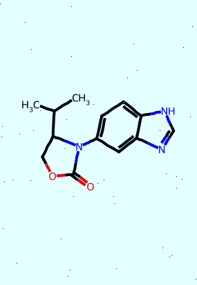 CC(C)C1COC(=O)N1c1ccc2[nH]cnc2c1